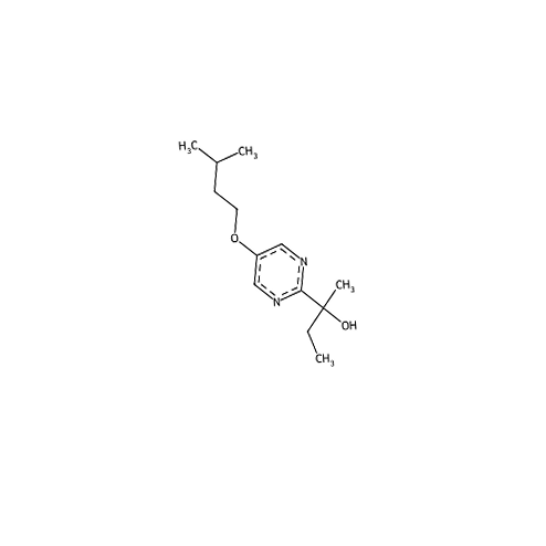 CCC(C)(O)c1ncc(OCCC(C)C)cn1